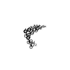 NCC(=O)[O-].NCC(=O)[O-].NCC(=O)[O-].O=C([O-])c1cccnc1.O=C([O-])c1cccnc1.O=C([O-])c1cccnc1.[Cr+3].[Cr+3]